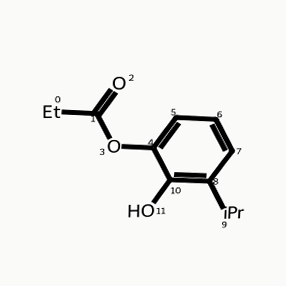 CCC(=O)Oc1cccc(C(C)C)c1O